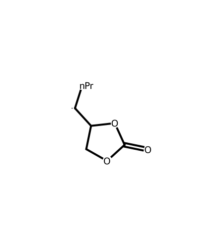 CCC[CH]C1COC(=O)O1